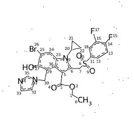 CCOC(=O)c1c(CS(=O)(=O)c2ccc(F)c(F)c2)n(C2CC2)c2cc(Br)c(O)c(Cn3ccnc3)c12